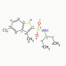 CCC(CC)NS(=O)(=O)c1sc2ccc(Cl)cc2c1C